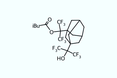 CCC(C)C(=O)OC(C(F)(F)F)(C(F)(F)F)C12CC3CC(CC(C(O)(C(F)(F)F)C(F)(F)F)(C3)C1)C2